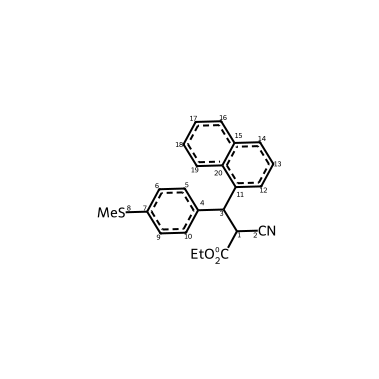 CCOC(=O)C(C#N)C(c1ccc(SC)cc1)c1cccc2ccccc12